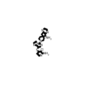 Nc1nccc(Sc2cnc(N3CCC4(CC3)Cc3nccnc3[C@H]4N)n3ccnc23)c1Cl